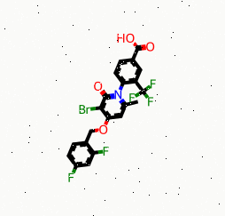 Cc1cc(OCc2ccc(F)cc2F)c(Br)c(=O)n1-c1ccc(C(=O)O)cc1C(F)(F)F